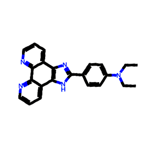 CCN(CC)c1ccc(-c2nc3c4cccnc4c4ncccc4c3[nH]2)cc1